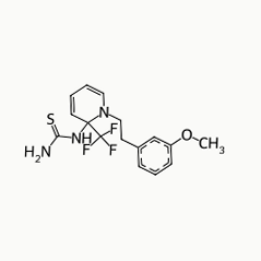 COc1cccc(CCN2C=CC=CC2(NC(N)=S)C(F)(F)F)c1